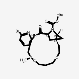 CN1CCCCCCC[C@@]23C[C@@H](C(=O)Nc4nc(Br)ccc4C1)N(C(=O)OC(C)(C)C)[C@@H]2C3